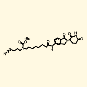 CC(C)(C)OC(=O)N(CCCCCCCC(=O)Nc1ccc2c(c1)CN(C1CCC(=O)NC1=O)C2=O)CCCN=[N+]=[N-]